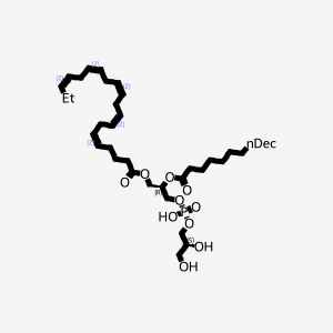 CC/C=C\C/C=C\C/C=C\C/C=C\C/C=C\CCCC(=O)OC[C@H](COP(=O)(O)OC[C@@H](O)CO)OC(=O)CCCCCCCCCCCCCCCC